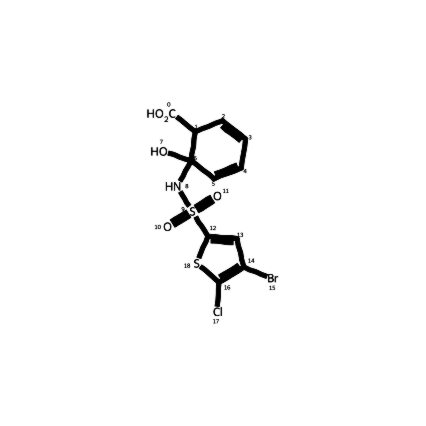 O=C(O)C1C=CC=CC1(O)NS(=O)(=O)c1cc(Br)c(Cl)s1